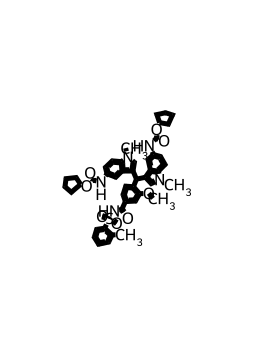 COc1cc(C(=O)NS(=O)(=O)c2ccccc2C)ccc1C(c1cn(C)c2ccc(NC(=O)OC3CCCC3)cc12)c1cn(C)c2ccc(NC(=O)OC3CCCC3)cc12